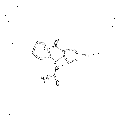 Clc1ccc2c(c1)Nc1ccccc1S2.NC(=O)Cl